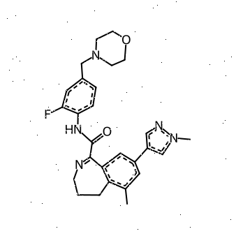 Cc1cc(-c2cnn(C)c2)cc2c1CCCN=C2C(=O)Nc1ccc(CN2CCOCC2)cc1F